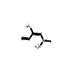 C=C/C(=C\N(C)N)CCC